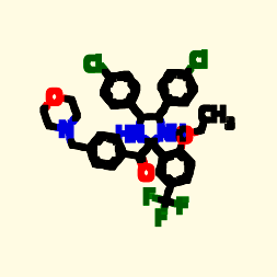 CCOc1ccc(C(F)(F)F)cc1C1(C(=O)c2ccc(CN3CCOCC3)cc2)NC(c2ccc(Cl)cc2)C(c2ccc(Cl)cc2)N1